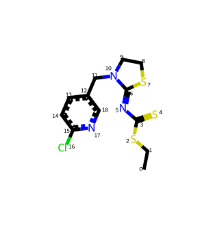 CCSC(=S)N=C1SCCN1Cc1ccc(Cl)nc1